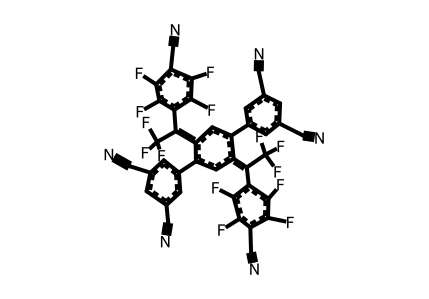 N#Cc1cc(C#N)cc(-c2c/c(=C(\c3c(F)c(F)c(C#N)c(F)c3F)C(F)(F)F)c(-c3cc(C#N)cc(C#N)c3)c/c2=C(\c2c(F)c(F)c(C#N)c(F)c2F)C(F)(F)F)c1